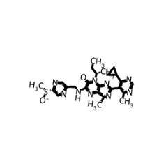 CC[C@@H](C)n1c(=O)c(NCc2cnc([S+](C)[O-])cn2)nc2c(C)nc(-c3c(C)ncnc3C3CC3)nc21